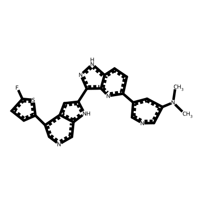 CN(C)c1cncc(-c2ccc3[nH]nc(-c4cc5c(-c6ccc(F)s6)cncc5[nH]4)c3n2)c1